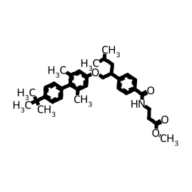 COC(=O)CCNC(=O)c1ccc(C(COc2cc(C)c(-c3ccc(C(C)(C)C)cc3)c(C)c2)CC(C)C)cc1